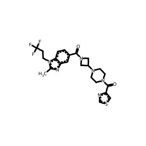 Cc1nc2cc(C(=O)N3CC(N4CCN(C(=O)c5cscn5)CC4)C3)ccc2n1CCC(F)(F)F